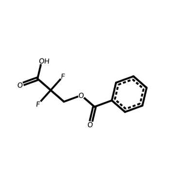 O=C(OCC(F)(F)C(=O)O)c1ccccc1